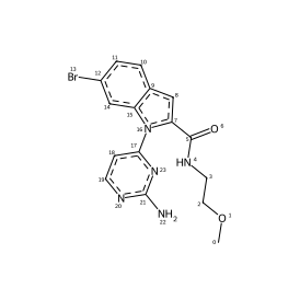 COCCNC(=O)c1cc2ccc(Br)cc2n1-c1ccnc(N)n1